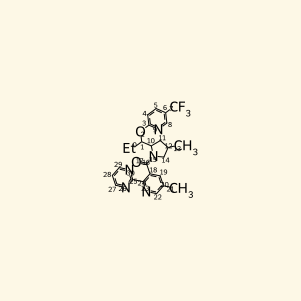 CCC(Oc1ccc(C(F)(F)F)cn1)C1CC(C)CN1C(=O)c1cc(C)cnc1-c1ncccn1